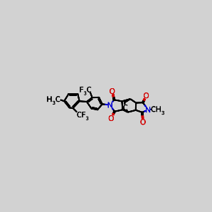 Cc1ccc(-c2ccc(N3C(=O)C4C5CCC(C6C(=O)N(C)C(=O)C56)C4C3=O)cc2C(F)(F)F)c(C(F)(F)F)c1